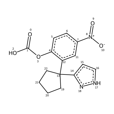 O=C(O)Oc1ccc([N+](=O)[O-])cc1C1(c2cc[nH]n2)CCCC1